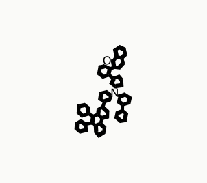 c1ccc(-c2cccc(N(c3cccc(-c4ccc5c(c4)c(-c4ccccc4)c(-c4ccccc4)c4ccccc45)c3)c3cccc(-c4cccc5oc6c7ccccc7ccc6c45)c3)c2)cc1